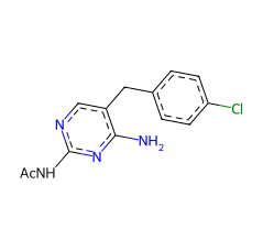 CC(=O)Nc1ncc(Cc2ccc(Cl)cc2)c(N)n1